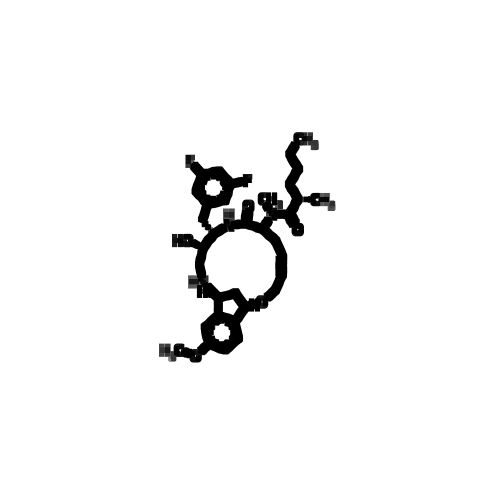 CCCC[C@H](C)C(=O)N(C)C1CC=CCO[C@H]2C[C@H](NC[C@@H](O)[C@H](Cc3cc(F)cc(F)c3)NC1=O)c1cc(OC)ccc12